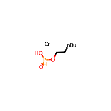 CCCCCCO[PH](=O)O.[Cr]